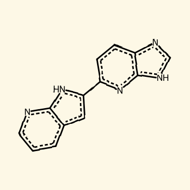 c1cnc2[nH]c(-c3ccc4nc[nH]c4n3)cc2c1